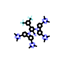 Cc1nc(C)nc(-c2ccc3c(c2)c2cc(-c4nc(C)nc(C)n4)ccc2n3-c2cc(-c3cc(C(F)(F)F)cc(C(F)(F)F)c3)cc(-n3c4ccc(-c5nc(C)nc(C)n5)cc4c4cc(-c5nc(C)nc(C)n5)ccc43)c2C#N)n1